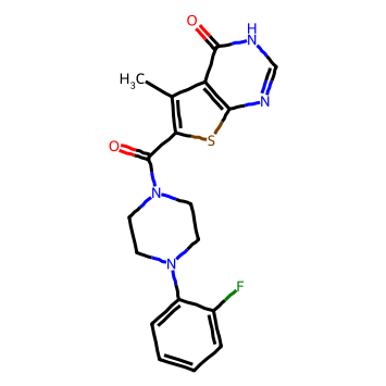 Cc1c(C(=O)N2CCN(c3ccccc3F)CC2)sc2nc[nH]c(=O)c12